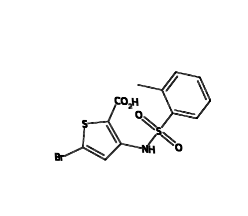 Cc1ccccc1S(=O)(=O)Nc1cc(Br)sc1C(=O)O